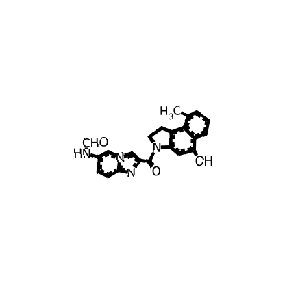 Cc1cccc2c(O)cc3c(c12)CCN3C(=O)c1cn2cc(NC=O)ccc2n1